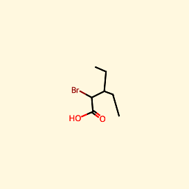 CCC(CC)C(Br)C(=O)O